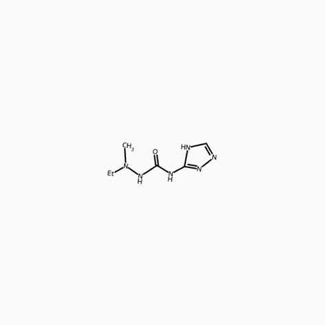 CCN(C)NC(=O)Nc1nnc[nH]1